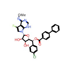 CO/N=c1\nc[nH]c2c1c(F)cn2[C@@H]1O[C@H]([C@H](OC(=O)c2ccc(-c3ccccc3)cc2)c2ccc(Cl)cc2)[C@@H](O)[C@H]1O